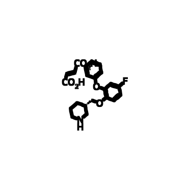 Fc1ccc(OC[C@H]2CCCNC2)c(Oc2ccccc2)c1.O=C(O)/C=C/C(=O)O